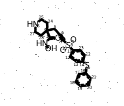 O=C(NO)C1(CC#CS(=O)(=O)c2ccc(Sc3ccccc3)cc2)CCNCC1